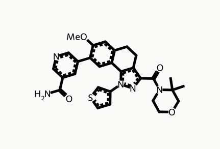 COc1cc2c(cc1-c1cncc(C(N)=O)c1)-c1c(c(C(=O)N3CCOCC3(C)C)nn1-c1ccsc1)CC2